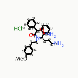 COc1ccc(CCN(C(=O)C(c2ccccc2)c2ccccc2)[C@H](CCCN)C(N)=O)cc1.Cl